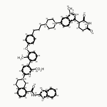 Cc1c(Oc2ccc(CCCN3CCN(c4ccc5c(C6CCC(=O)NC6=O)nn(C)c5c4)CC3)cc2)cccc1-c1ccc(N2CCc3cccc(C(=O)Nc4nc5ccccc5s4)c3C2)nc1C(=O)O